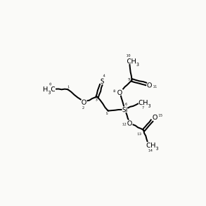 CCOC(=S)C[Si](C)(OC(C)=O)OC(C)=O